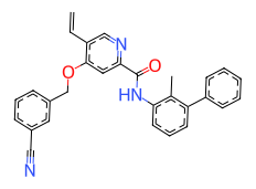 C=Cc1cnc(C(=O)Nc2cccc(-c3ccccc3)c2C)cc1OCc1cccc(C#N)c1